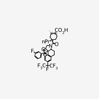 CCC[C@]1(C(=O)N2CCC3(S(=O)(=O)c4cccc(F)c4)c4ccc(C(F)(C(F)(F)F)C(F)(F)F)cc4CCC23)CC[C@@H](C(=O)O)[C@@H](C)C1